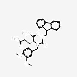 COc1ccc(CN(C(=O)OCC2c3ccccc3-c3ccccc32)[C@@H](CCC(=O)O)C(N)=O)cc1OC